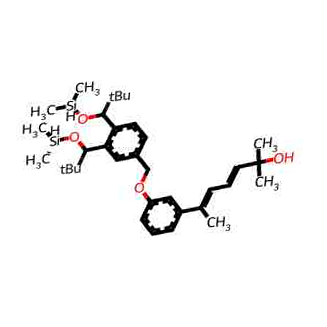 CC(=CC=CC(C)(C)O)c1cccc(OCc2ccc(C(O[SiH](C)C)C(C)(C)C)c(C(O[SiH](C)C)C(C)(C)C)c2)c1